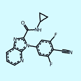 N#Cc1c(F)cc(-n2c(C(=O)NC3CC3)nc3cccnc32)cc1F